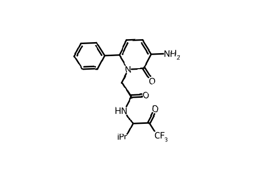 CC(C)C(NC(=O)Cn1c(-c2ccccc2)ccc(N)c1=O)C(=O)C(F)(F)F